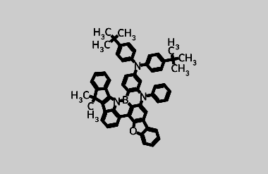 CC(C)(C)c1ccc(N(c2ccc(C(C)(C)C)cc2)c2ccc3c(c2)N(c2ccccc2)c2cc4c(oc5ccccc54)c4c2B3n2c3c(c5cccc-4c52)C(C)(C)c2ccccc2-3)cc1